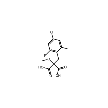 COC(Cc1c(F)cc(Cl)cc1F)(C(=O)O)C(=O)O